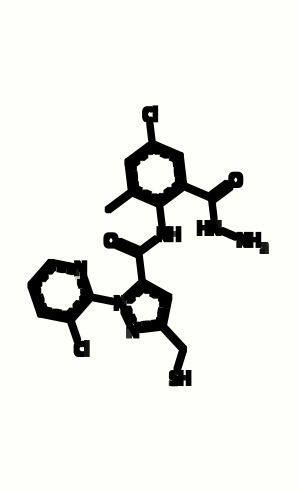 Cc1cc(Cl)cc(C(=O)NN)c1NC(=O)c1cc(CS)nn1-c1ncccc1Cl